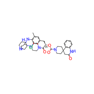 Cc1cc(C[C@@H](OC(=O)N2CCC3(CC2)CC(=O)Nc2ccccc23)C(=O)N2CCN(C3CN4CCC3CC4)CC2)cc(Cl)c1N